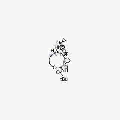 CC(C)(C)CC(=O)N[C@H]1CCCCC/C=C\[C@@H]2C[C@@]2(C(=O)NS(=O)(=O)C2CC2)NC(=O)C2CCCN2C1=O